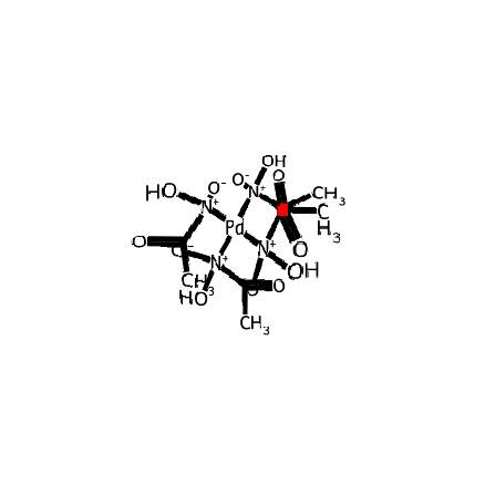 CC(=O)[N+]([O-])(O)[Pd]([N+]([O-])(O)C(C)=O)([N+]([O-])(O)C(C)=O)[N+]([O-])(O)C(C)=O